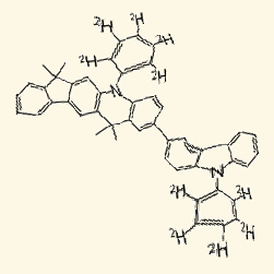 [2H]c1c([2H])c([2H])c(N2c3ccc(-c4ccc5c(c4)c4ccccc4n5-c4c([2H])c([2H])c([2H])c([2H])c4[2H])cc3C(C)(C)c3cc4c(cc32)C(C)(C)c2ccccc2-4)c([2H])c1[2H]